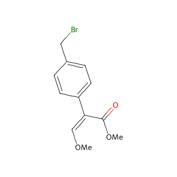 CO/C=C(\C(=O)OC)c1ccc(CBr)cc1